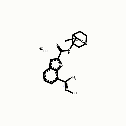 Cl.Cl.N/C(=N\O)c1cccc2cc(C(=O)N[C@H]3CN4CCC3CC4)sc12